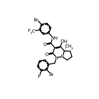 C[C@]12CCCN1N(Cc1cccc(F)c1Br)C(=O)C(C(=O)Nc1ccc(Br)c(C(F)(F)F)c1)=C2O